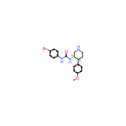 COc1ccc([C@@H]2CCNC[C@H]2NC(=O)Nc2ccc(Br)cc2)cc1